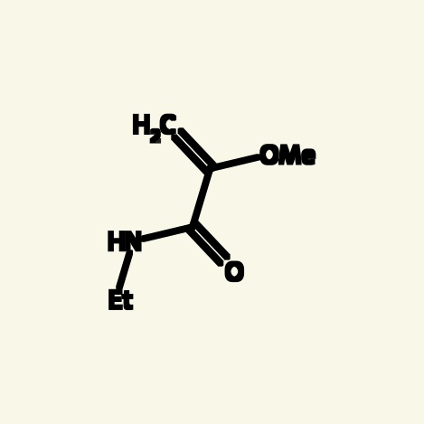 C=C(OC)C(=O)NCC